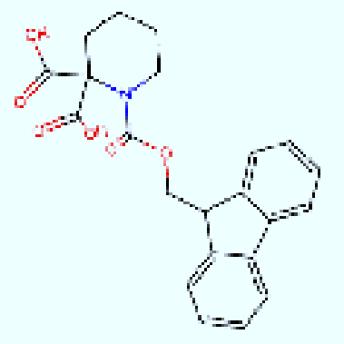 O=C(OCC1c2ccccc2-c2ccccc21)N1CCCCC1(C(=O)O)C(=O)O